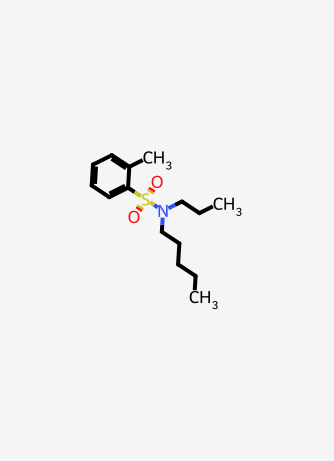 CCCCCN(CCC)S(=O)(=O)c1ccccc1C